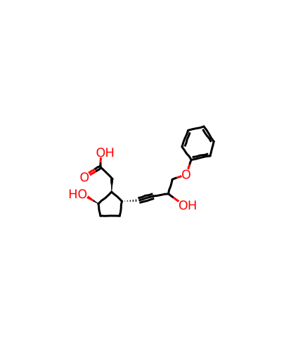 O=C(O)C[C@@H]1[C@H](O)CC[C@H]1C#CC(O)COc1ccccc1